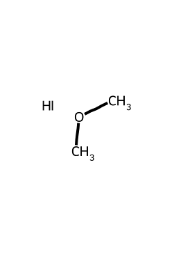 COC.I